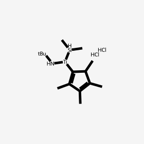 CC1=C(C)C(C)[C]([Ti]([NH]C(C)(C)C)[SiH](C)C)=C1C.Cl.Cl